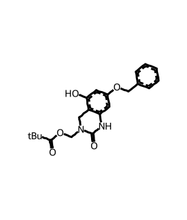 CC(C)(C)C(=O)OCN1Cc2c(O)cc(OCc3ccccc3)cc2NC1=O